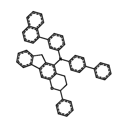 c1ccc(-c2ccc(N(c3cccc(-c4cccc5ccccc45)c3)c3c4c(cc5c3Cc3ccccc3-5)OC(c3ccccc3)CC4)cc2)cc1